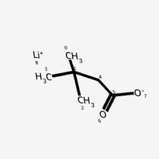 CC(C)(C)CC(=O)[O-].[Li+]